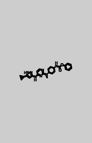 CN(c1nccc(Nc2cc(C3CC3)[nH]n2)n1)[C@H]1CC[C@H](NC(=O)Oc2ccccc2)CC1